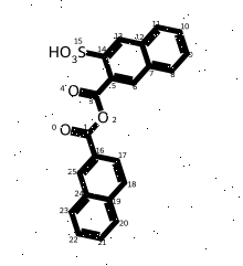 O=C(OC(=O)c1cc2ccccc2cc1S(=O)(=O)O)c1ccc2ccccc2c1